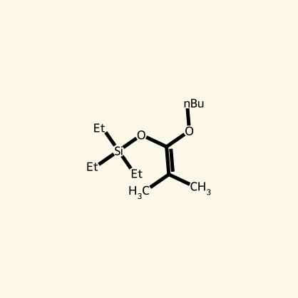 CCCCOC(O[Si](CC)(CC)CC)=C(C)C